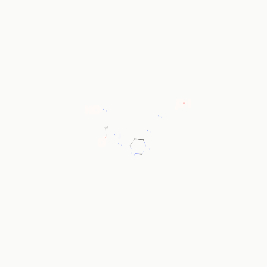 O=CN(O)C[C@@H](CC1CCCC1)C(=O)NNc1nc(Cl)nc(N2CCN(CCO)CC2)c1F